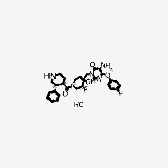 Cl.Nc1c(Oc2ccc(F)cc2)ncn(CC2(O)CCN(C(=O)[C@@H]3CCNC[C@H]3c3ccccc3)C[C@H]2F)c1=O